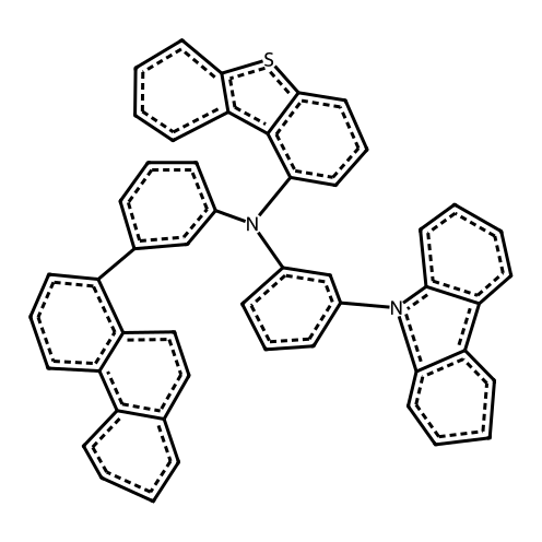 c1cc(-c2cccc3c2ccc2ccccc23)cc(N(c2cccc(-n3c4ccccc4c4ccccc43)c2)c2cccc3sc4ccccc4c23)c1